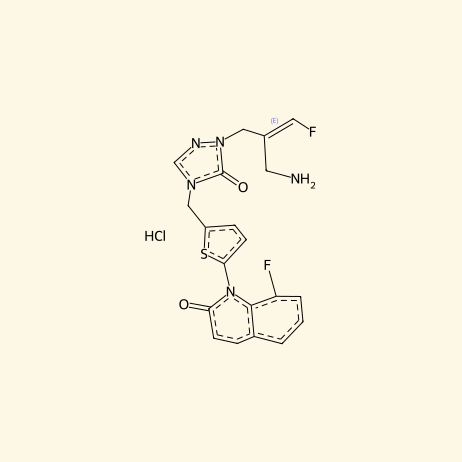 Cl.NC/C(=C\F)Cn1ncn(Cc2ccc(-n3c(=O)ccc4cccc(F)c43)s2)c1=O